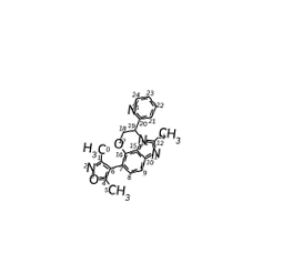 Cc1noc(C)c1-c1ccc2nc(C)n3c2c1OCC3c1ccccn1